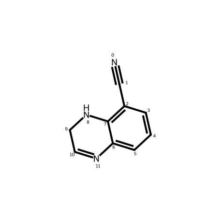 N#Cc1cccc2c1NCC=N2